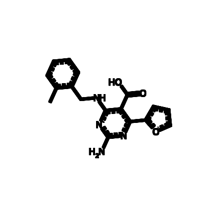 Cc1ccccc1CNc1nc(N)nc(-c2ccco2)c1C(=O)O